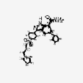 CNC(=O)c1cc(-c2ccccc2)cc2c(C3CCN(S(=O)(=O)CCCN4CCCC4)CC3)n[nH]c12